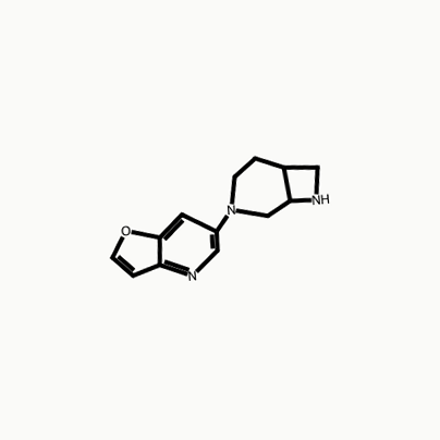 c1cc2ncc(N3CCC4CNC4C3)cc2o1